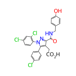 O=C(O)Cc1c(C(=O)NCc2ccc(O)cc2)nn(-c2ccc(Cl)cc2Cl)c1-c1ccc(Cl)cc1